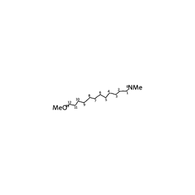 CNCCCCCCCCCCCCOC